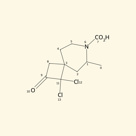 CC1CC2(CCN1C(=O)O)CC(=O)C2(Cl)Cl